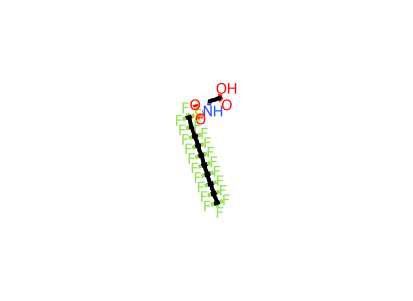 O=C(O)CNS(=O)(=O)C(F)(F)C(F)(F)C(F)(F)C(F)(F)C(F)(F)C(F)(F)C(F)(F)C(F)(F)C(F)(F)C(F)(F)F